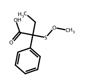 CCC(SOC)(C(=O)O)c1ccccc1